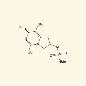 CNS(=O)(=O)NC1CC2=C(C(C)(C)C)[C@H](C)N=C(C(C)(C)C)N2C1